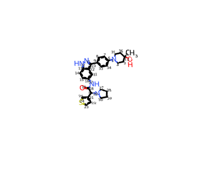 CC1(O)CCN(c2ccc(-c3n[nH]c4ccc(NC(=O)C(c5ccsc5)N5CCCC5)cc34)cc2)CC1